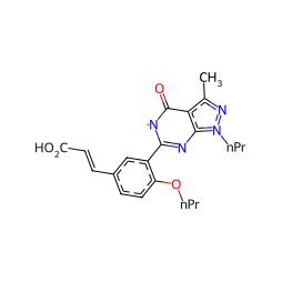 CCCOc1ccc(C=CC(=O)O)cc1C1=Nc2c(c(C)nn2CCC)C(=O)[N]1